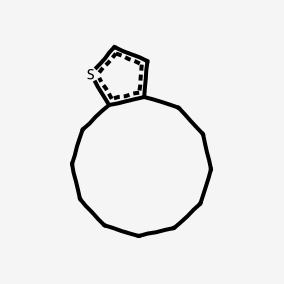 c1cc2c(s1)CCCCCCCCCC2